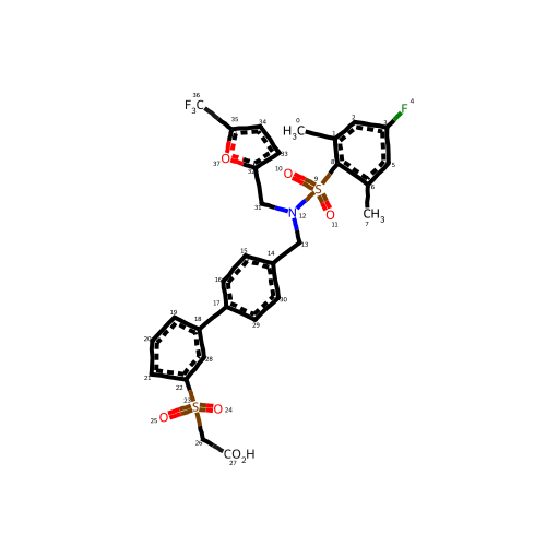 Cc1cc(F)cc(C)c1S(=O)(=O)N(Cc1ccc(-c2cccc(S(=O)(=O)CC(=O)O)c2)cc1)Cc1ccc(C(F)(F)F)o1